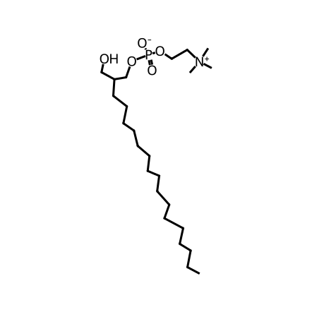 CCCCCCCCCCCCCCCCC(CO)COP(=O)([O-])OCC[N+](C)(C)C